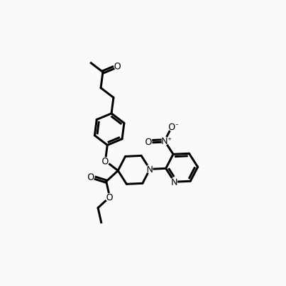 CCOC(=O)C1(Oc2ccc(CCC(C)=O)cc2)CCN(c2ncccc2[N+](=O)[O-])CC1